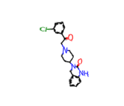 O=C(CN1CCC(N2Cc3ccccc3NC2=O)CC1)c1cccc(Cl)c1